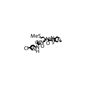 CSCC[C@H](CNC(=O)C(=O)Nc1ccc(Cl)cn1)NC(=O)c1nc2c(s1)CN(C)CC2